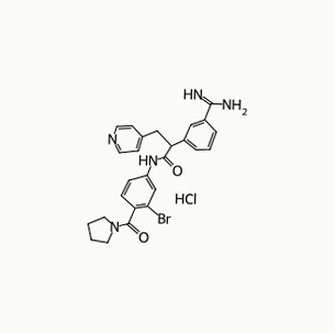 Cl.N=C(N)c1cccc(C(Cc2ccncc2)C(=O)Nc2ccc(C(=O)N3CCCC3)c(Br)c2)c1